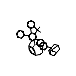 CC1(C)c2ccccc2-c2c(-c3ccccc3)cc(N(c3ccc(C45CC6CC(CC(C6)C4)C5)cc3)c3cc4ccc3CCc3ccc(cc3)CC4)cc21